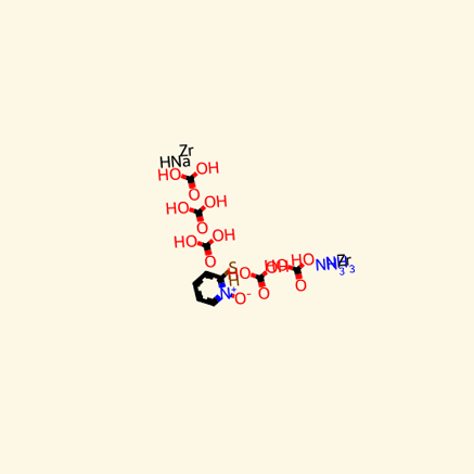 N.N.O=C(O)O.O=C(O)O.O=C(O)O.O=C(O)O.O=C(O)O.[NaH].[O-][n+]1ccccc1S.[Zr].[Zr]